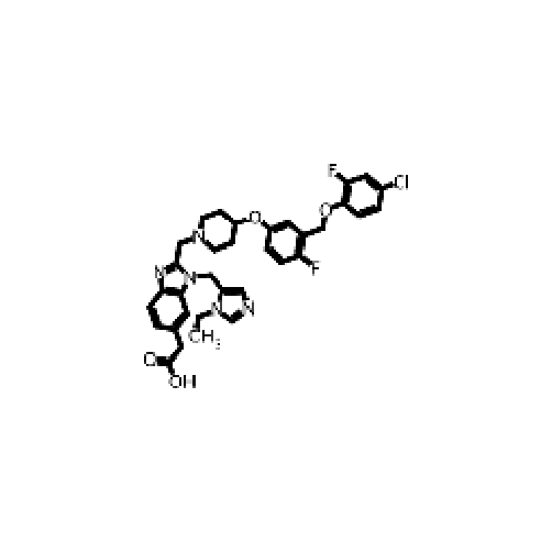 CCn1cncc1Cn1c(CN2CCC(Oc3ccc(F)c(COc4ccc(Cl)cc4F)c3)CC2)nc2ccc(CC(=O)O)cc21